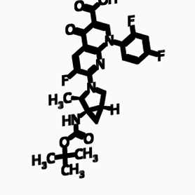 C[C@H]1N(c2nc3c(cc2F)c(=O)c(C(=O)O)cn3-c2ccc(F)cc2F)C[C@@H]2C[C@@]21NC(=O)OC(C)(C)C